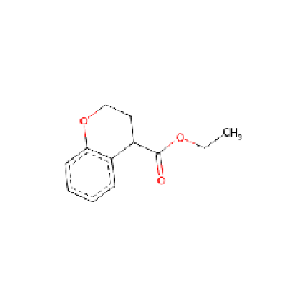 CCOC(=O)C1CCOc2ccccc21